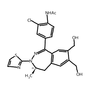 CC(=O)Nc1ccc(C2=NN(c3nccs3)[C@H](C)Cc3cc(CO)c(CO)cc32)cc1Cl